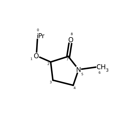 CC(C)OC1CCN(C)C1=O